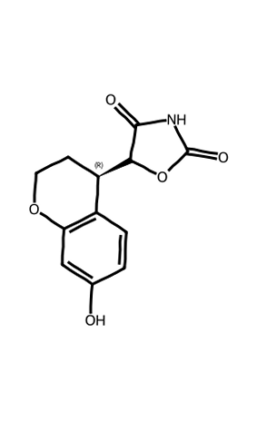 O=C1NC(=O)C([C@@H]2CCOc3cc(O)ccc32)O1